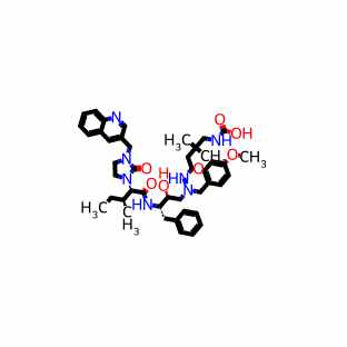 CC[C@H](C)[C@@H](C(=O)N[C@@H](Cc1ccccc1)[C@@H](O)CN(Cc1ccc(OC)cc1)NC(=O)CC(C)(C)CNC(=O)O)N1CCN(Cc2cnc3ccccc3c2)C1=O